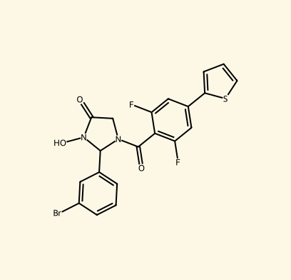 O=C1CN(C(=O)c2c(F)cc(-c3cccs3)cc2F)C(c2cccc(Br)c2)N1O